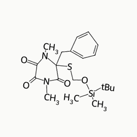 CN1C(=O)C(=O)N(C)C(Cc2ccccc2)(SCO[Si](C)(C)C(C)(C)C)C1=O